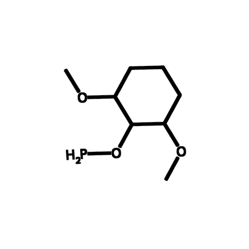 COC1CCCC(OC)C1OP